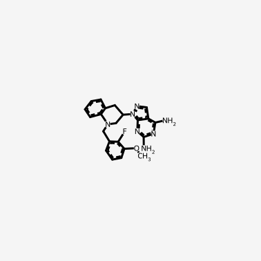 COc1cccc(CN2CC(n3ncc4c(N)nc(N)nc43)Cc3ccccc32)c1F